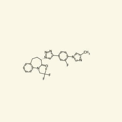 Cc1cn(-c2ccc(-c3cn([C@H]4CCc5ccccc5N(CC(F)(F)F)C4=O)nn3)cc2F)cn1